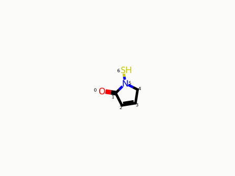 O=C1C=CCN1S